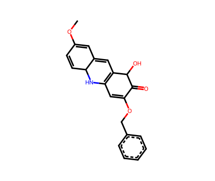 COC1=CC2=CC3=C(C=C(OCc4ccccc4)C(=O)C3O)NC2C=C1